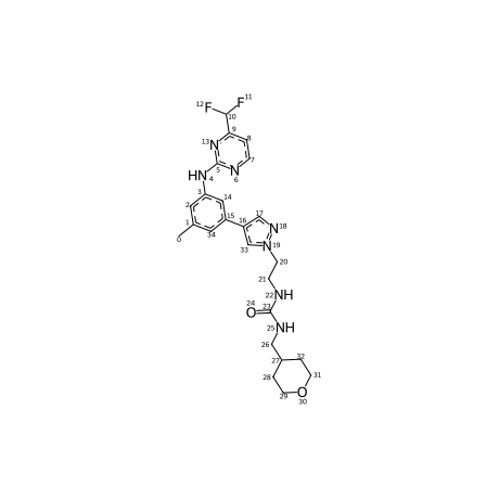 Cc1cc(Nc2nccc(C(F)F)n2)cc(-c2cnn(CCNC(=O)NCC3CCOCC3)c2)c1